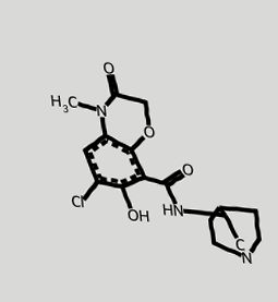 CN1C(=O)COc2c1cc(Cl)c(O)c2C(=O)NC1CN2CCC1CC2